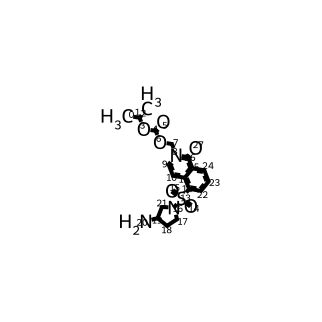 CC(C)OC(=O)OCn1ccc2c(S(=O)(=O)N3CCC(N)C3)cccc2c1=O